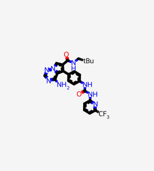 CC(C)(C)CNC(=O)c1cn2ncnc(N)c2c1-c1ccc(NC(=O)Nc2cccc(C(F)(F)F)n2)cc1